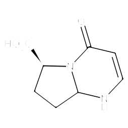 O=C(O)[C@@H]1CCC2NC=CC(=O)N21